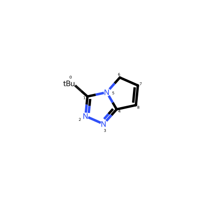 CC(C)(C)c1nnc2n1CC=C2